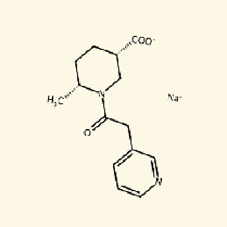 C[C@@H]1CC[C@H](C(=O)[O-])CN1C(=O)Cc1cccnc1.[Na+]